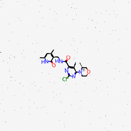 Cc1cc(C)c(CNC(=O)c2nc(Cl)nc(N3CCOC[C@@H]3C)c2C)c(=O)[nH]1